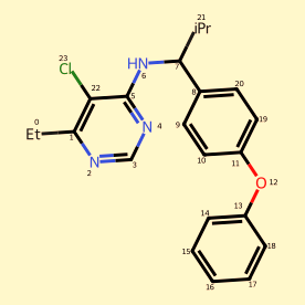 CCc1ncnc(NC(c2ccc(Oc3ccccc3)cc2)C(C)C)c1Cl